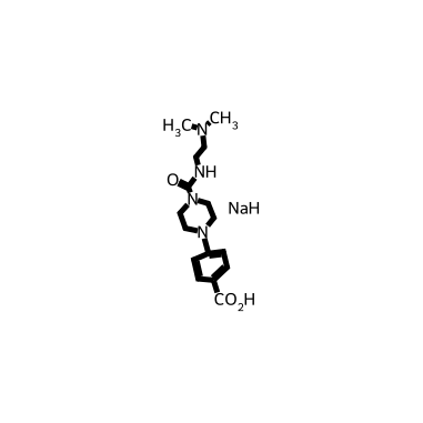 CN(C)CCNC(=O)N1CCN(c2ccc(C(=O)O)cc2)CC1.[NaH]